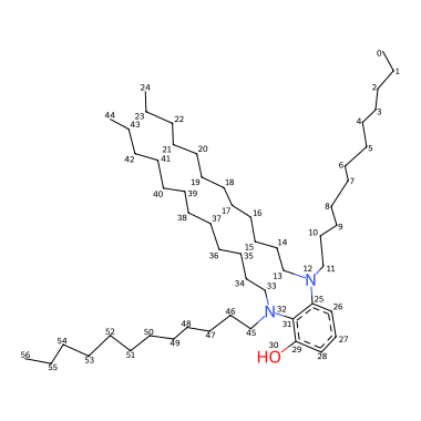 CCCCCCCCCCCCN(CCCCCCCCCCCC)c1cccc(O)c1N(CCCCCCCCCCCC)CCCCCCCCCCCC